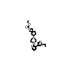 CCOC(=O)N1CC2(CC[C@@H](N3CCN(c4ncccc4-c4cnn(CC)c4)CC3)C2)C1